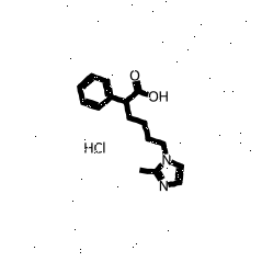 Cc1nccn1CCCCC(C(=O)O)c1ccccc1.Cl